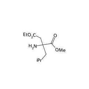 CCOC(=O)CC(N)(CC(C)C)C(=O)OC